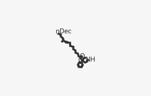 CCCCCCCCCCCCC/C=C(\C)C#CCCCCCCCCC(=O)OC1(c2ccccc2)CCNCC1